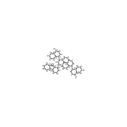 Cc1ccc(-c2ccc3ccc4c(-c5ccc(C)c6ccccc56)cc(-c5cccc6c5oc5ccccc56)c5ccc2c3c45)c2ccccc12